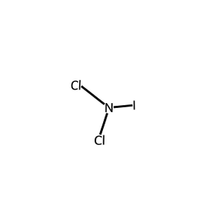 ClN(Cl)I